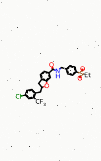 CCS(=O)(=O)c1ccc(CNC(=O)c2ccc3c(c2)OC(Cc2ccc(Cl)cc2C(F)(F)F)C3)cc1